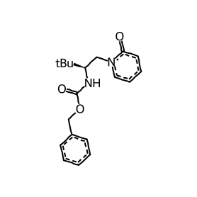 CC(C)(C)[C@@H](Cn1ccccc1=O)NC(=O)OCc1ccccc1